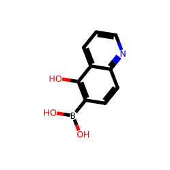 OB(O)c1ccc2ncccc2c1O